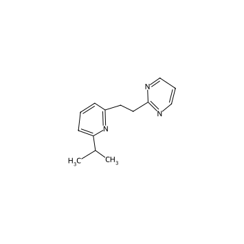 CC(C)c1cccc(CCc2ncccn2)n1